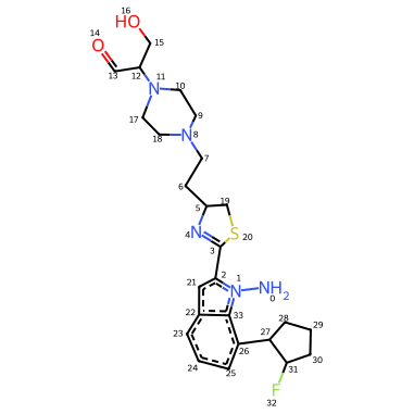 Nn1c(C2=NC(CCN3CCN(C(C=O)CO)CC3)CS2)cc2cccc(C3CCCC3F)c21